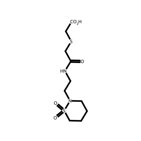 O=C(O)CSCC(=O)NCCN1CCCCS1(=O)=O